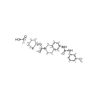 COc1cccc(NC(=O)Nc2ccc3c(c2)CCN(C(=O)O[C@@H]2CC[C@@H](CC(=O)O)C[C@H]2C)C3)c1